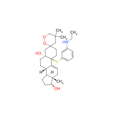 CCNc1cccc(S[C@]23CCC4(CC(C)(C)COO4)C[C@]2(O)CC[C@@H]2C3=CC[C@]3(C)[C@@H](O)CC[C@@H]23)c1